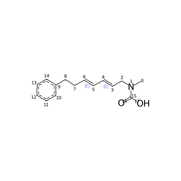 CN(C/C=C/C=C/CCc1ccccc1)C(=O)O